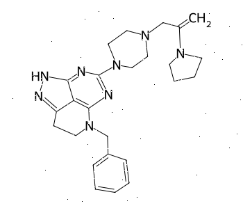 C=C(CN1CCN(c2nc3c4c(n[nH]c4n2)CCN3Cc2ccccc2)CC1)N1CCCC1